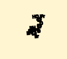 CC(C)c1cc(Oc2ccc(C(=O)Cc3cc(Br)cc(Br)c3S(N)(=O)=O)cc2)ccc1O